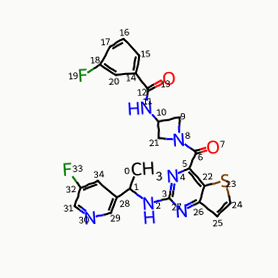 CC(Nc1nc(C(=O)N2CC(NC(=O)c3cccc(F)c3)C2)c2sccc2n1)c1cncc(F)c1